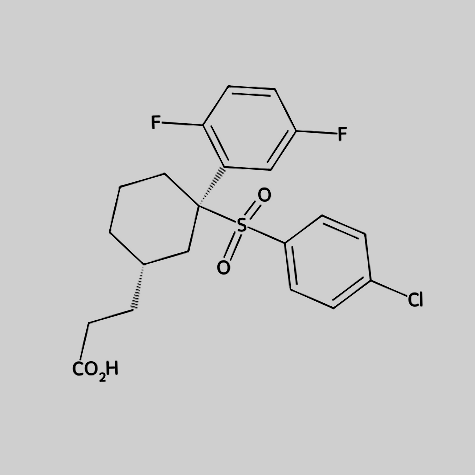 O=C(O)CC[C@@H]1CCC[C@@](c2cc(F)ccc2F)(S(=O)(=O)c2ccc(Cl)cc2)C1